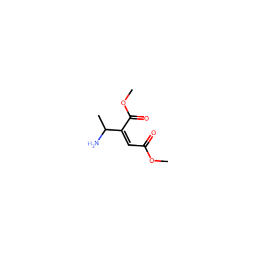 COC(=O)C=C(C(=O)OC)C(C)N